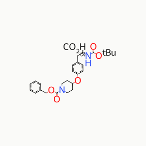 CC(C)(C)OC(=O)N[C@@H](Cc1ccc(OC2CCN(C(=O)OCc3ccccc3)CC2)cc1)C(=O)O